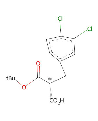 CC(C)(C)OC(=O)[C@H](Cc1ccc(Cl)c(Cl)c1)C(=O)O